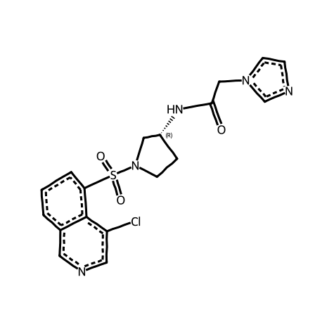 O=C(Cn1ccnc1)N[C@@H]1CCN(S(=O)(=O)c2cccc3cncc(Cl)c23)C1